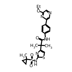 CCOc1cncc(-c2ccc(NC(=O)C(C)(C)c3csc(NS(=O)(=O)C4(C)CC4)n3)cc2)n1